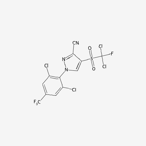 N#Cc1nn(-c2c(Cl)cc(C(F)(F)F)cc2Cl)cc1S(=O)(=O)C(F)(Cl)Cl